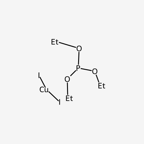 CCOP(OCC)OCC.[I][Cu][I]